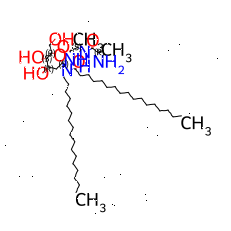 CCCCCCCCCCCCCCCCCCN(C(=O)CCCCCCCCCCCCCCCCC)[C@@]1(NC(=O)[C@H](C)NC(=O)[C@@H](C)N)C[C@@H](O)[C@H](O)[C@@H](CO)O1